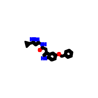 O=C(Cc1c[nH]c2ccc(OCc3ccccc3)cc12)Nc1cc(C2CC2)[nH]n1